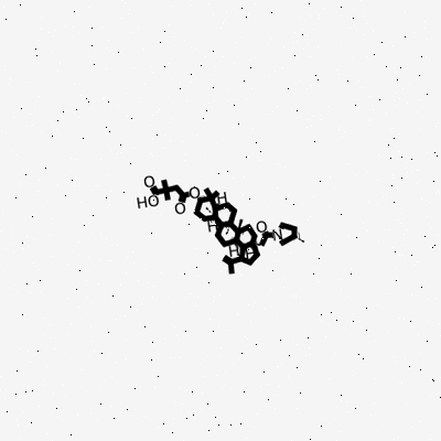 C=C(C)C1CC[C@]2(CC(=O)N3CC[C@H](C)C3)CC[C@]3(C)[C@H](CC[C@@H]4[C@@]5(C)CC[C@H](OC(=O)CC(C)(C)C(=O)O)C(C)(C)[C@@H]5CC[C@]43C)[C@@H]12